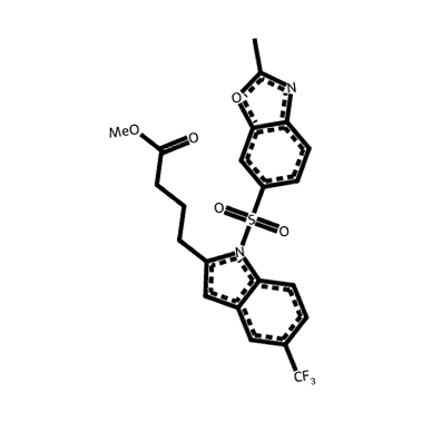 COC(=O)CCCc1cc2cc(C(F)(F)F)ccc2n1S(=O)(=O)c1ccc2nc(C)oc2c1